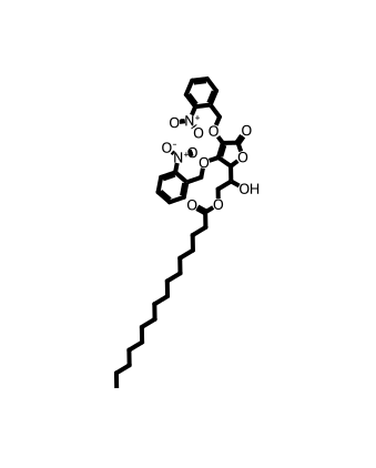 CCCCCCCCCCCCCCCC(=O)OCC(O)C1OC(=O)C(OCc2ccccc2[N+](=O)[O-])=C1OCc1ccccc1[N+](=O)[O-]